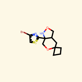 Brc1csc(C23COC4(CCC4)CC2CON3)n1